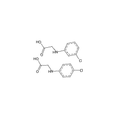 O=C(O)CNc1ccc(Cl)cc1.O=C(O)CNc1cccc(Cl)c1